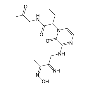 CCC(C(=O)NCC(C)=O)n1ccnc(NCC(=N)/C(C)=N\O)c1=O